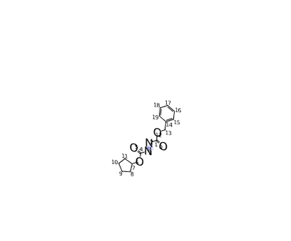 O=C(/N=N/C(=O)OC1CCCC1)OCc1ccccc1